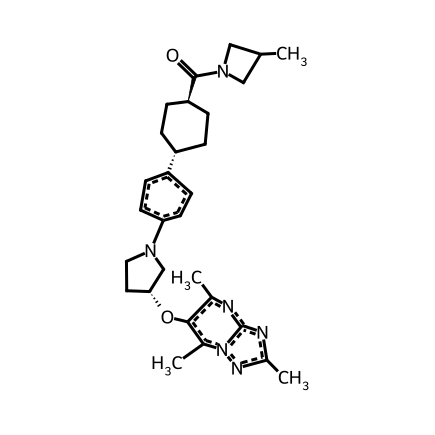 Cc1nc2nc(C)c(O[C@@H]3CCN(c4ccc([C@H]5CC[C@H](C(=O)N6CC(C)C6)CC5)cc4)C3)c(C)n2n1